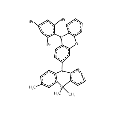 Cc1ccc2c(c1)[Si](C)(C)c1ccccc1N2c1ccc2c(c1)Oc1ccccc1B2c1c(C(C)C)cc(C(C)C)cc1C(C)C